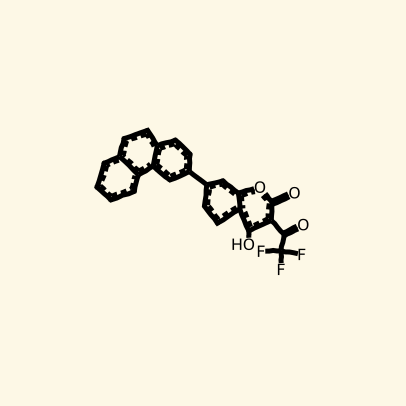 O=C(c1c(O)c2ccc(-c3ccc4ccc5ccccc5c4c3)cc2oc1=O)C(F)(F)F